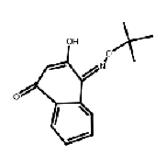 CC(C)(C)ON=C1C(O)=CC(=O)c2ccccc21